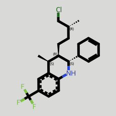 C[C@@H](CCl)CC[C@@H]1[C@H](C)c2cc(C(F)(F)F)ccc2N[C@H]1C1C=CC=CC1